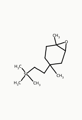 CC1(CC[Si](C)(C)C)CCC2(C)OC2C1